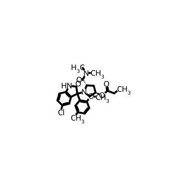 CCC(=O)O[C@@H]1C[C@@H](C(=O)N(C)C)N(C2(c3cc(C)ccc3OC)C(=O)Nc3ccc(Cl)cc32)C1